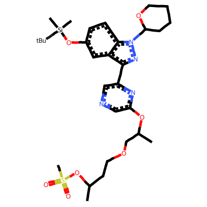 CC(COCCC(C)OS(C)(=O)=O)Oc1cncc(-c2nn(C3CCCCO3)c3ccc(O[Si](C)(C)C(C)(C)C)cc23)n1